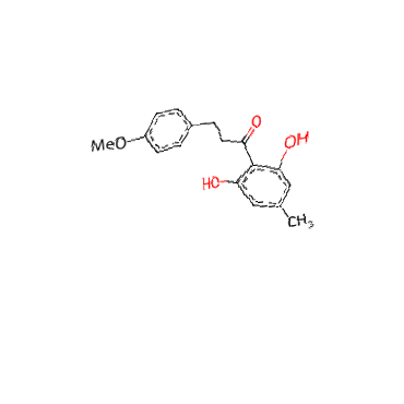 COc1ccc(CCC(=O)c2c(O)cc(C)cc2O)cc1